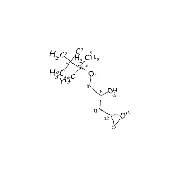 CC(C)(C)[Si](C)(C)OCC(O)CC1CO1